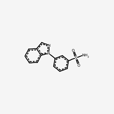 NS(=O)(=O)c1cccc(-n2ncc3ccccc32)c1